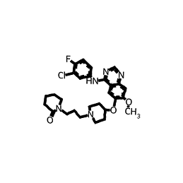 COc1cc2ncnc(Nc3ccc(F)c(Cl)c3)c2cc1OC1CCN(CCCN2CCCCC2=O)CC1